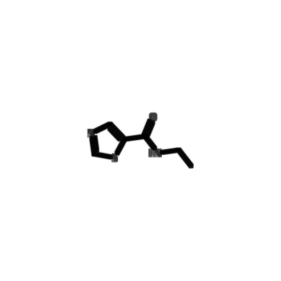 CCNC(=O)c1cncs1